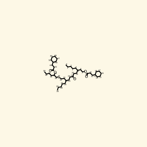 CCCCCC(CCOC(=O)CCC1CCCCC1)CCC(=O)CCC(CCCCC)CCSCC(CCCC)OC(=O)CCC1CCCCC1